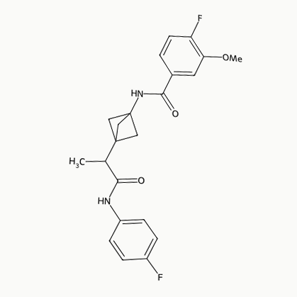 COc1cc(C(=O)NC23CC(C(C)C(=O)Nc4ccc(F)cc4)(C2)C3)ccc1F